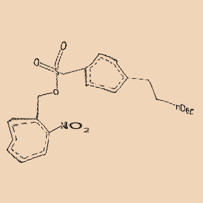 CCCCCCCCCCCCc1ccc(S(=O)(=O)OCc2ccccc2[N+](=O)[O-])cc1